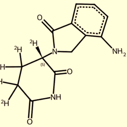 [2H]C1([2H])C(=O)NC(=O)[C@@]([2H])(N2Cc3c(N)cccc3C2=O)C1([2H])[2H]